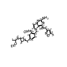 CCOC(C)N(C)C1CN(Cc2ccc(Cn3ccc4nc(N)nc(NCc5cc(C)on5)c43)c(OC)c2)C1